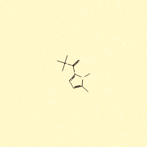 C=C(c1ccc(C)n1C)C(C)(C)C